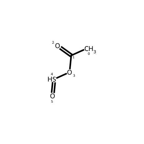 CC(=O)O[SH]=O